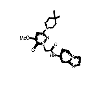 COc1cc(N2CCC(C)(C)CC2)nn(CC(=O)Nc2ccn3ccnc3c2)c1=O